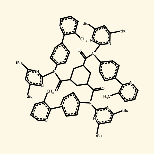 Cc1cccnc1-c1ccc(N(C(=O)C2CC(C(=O)N(c3ccc(-c4ncccc4C)cc3)c3nc(C(C)(C)C)cc(C(C)(C)C)n3)CC(C(=O)N(c3ccc(-c4ncccc4C)cc3)c3nc(C(C)(C)C)cc(C(C)(C)C)n3)C2)c2nc(C(C)(C)C)cc(C(C)(C)C)n2)cc1